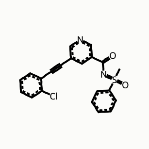 CS(=O)(=NC(=O)c1cncc(C#Cc2ccccc2Cl)c1)c1ccccc1